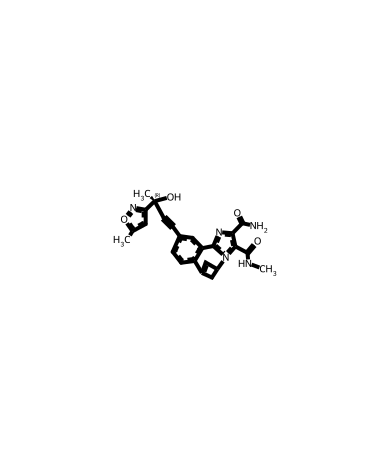 CNC(=O)c1c(C(N)=O)nc2n1C1C=C(C1)c1ccc(C#C[C@@](C)(O)c3cc(C)on3)cc1-2